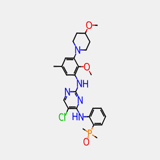 COc1c(Nc2ncc(Cl)c(Nc3ccccc3P(C)(C)=O)n2)cc(C)cc1N1CCC(OC)CC1